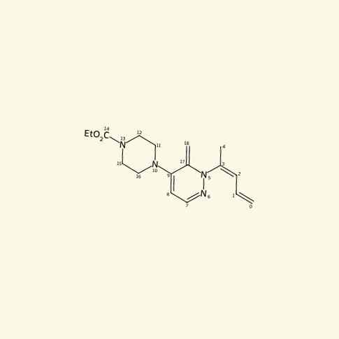 C=C/C=C(/C)N1N=CC=C(N2CCN(C(=O)OCC)CC2)C1=C